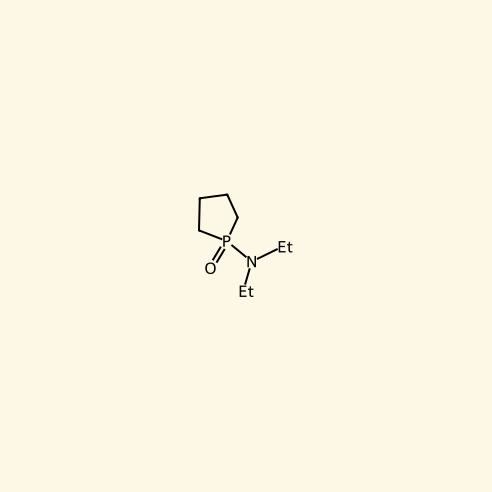 CCN(CC)P1(=O)CCCC1